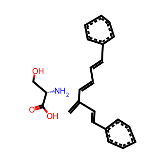 C=C(C=CC=Cc1ccccc1)C=Cc1ccccc1.N[C@@H](CO)C(=O)O